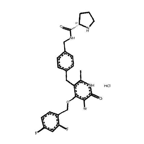 Cc1[nH]c(=O)c(Br)c(OCc2ccc(F)cc2F)c1Cc1ccc(CNC(=O)[C@@H]2CCCN2)cc1.Cl